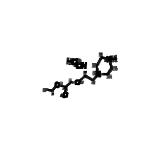 CCOC(=O)COCCN1CCNCC1.Cl.Cl